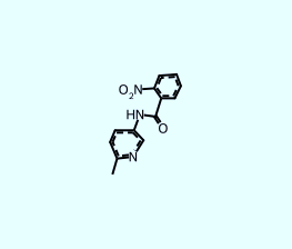 Cc1ccc(NC(=O)c2ccccc2[N+](=O)[O-])cn1